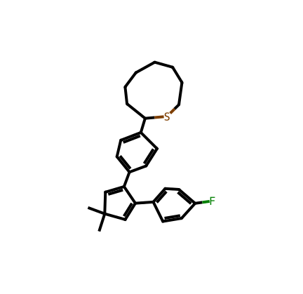 CC1(C)C=C(c2ccc(F)cc2)C(c2ccc(C3CCCCCCCS3)cc2)=C1